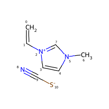 C=C[n+]1ccn(C)c1.N#C[S-]